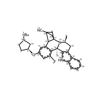 CCCCN1CC[C@H](Oc2cc(F)c3c(c2)C2C4(C#N)CC2(C4)N2[C@@H](C)Cc4c([nH]c5ccccc45)[C@@]32C)C1